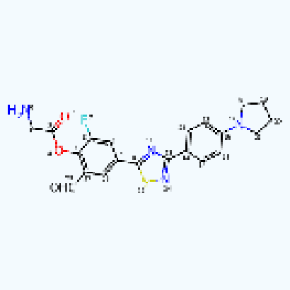 NCC(=O)Oc1c(F)cc(-c2nc(-c3ccc(N4CCCC4)cc3)ns2)cc1C=O